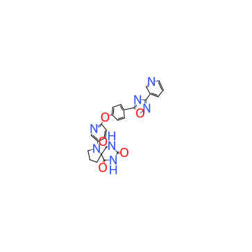 O=C1NC(=O)C2(CCCN2c2ccc(Oc3ccc(-c4nc(-c5cccnc5)no4)cc3)nc2)C(=O)N1